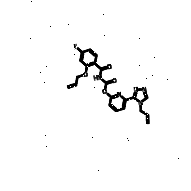 C=CCOc1cc(F)ccc1C(=O)NC(=O)Oc1cccc(-c2nncn2CC=C)n1